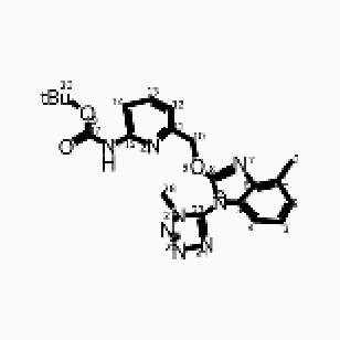 Cc1cccc2c1nc(OCc1cccc(NC(=O)OC(C)(C)C)n1)n2-c1nnnn1C